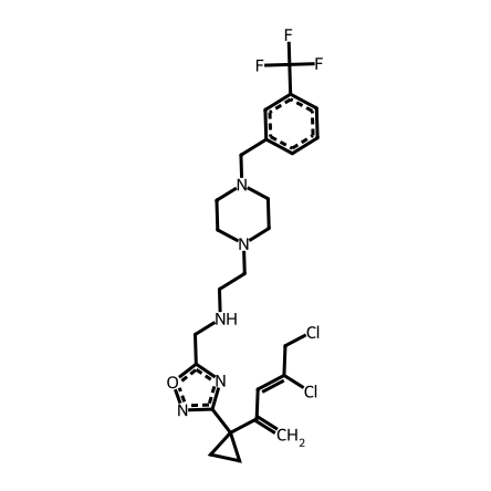 C=C(/C=C(\Cl)CCl)C1(c2noc(CNCCN3CCN(Cc4cccc(C(F)(F)F)c4)CC3)n2)CC1